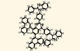 c1ccc(C2=Nc3ccccc3C2c2ccc(-c3nc(-c4ccc(-n5c(-c6ccccc6)nc6ccccc65)cc4)nc4c(-c5cc6ccccc6c6ccccc56)cc(-c5cc6ccccc6c6ccccc56)cc34)cc2)cc1